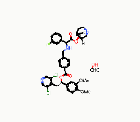 COc1ccc([C@H](Cc2c(Cl)cncc2Cl)OC(=O)c2ccc(CNC(C(=O)O[C@H]3CN4CCC3CC4)c3cccc(F)c3)cc2)cc1OC.O=CO